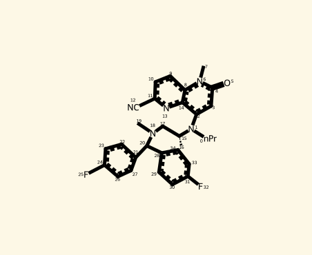 CCCN(c1cc(=O)n(C)c2ccc(C#N)nc12)[C@H](C)CN(C)C(c1ccc(F)cc1)c1ccc(F)cc1